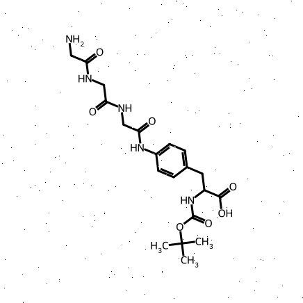 CC(C)(C)OC(=O)NC(Cc1ccc(NC(=O)CNC(=O)CNC(=O)CN)cc1)C(=O)O